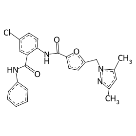 Cc1cc(C)n(Cc2ccc(C(=O)Nc3ccc(Cl)cc3C(=O)Nc3ccccc3)o2)n1